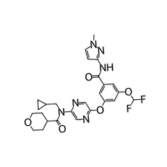 Cn1ccc(NC(=O)c2cc(Oc3cnc(N(CC4CC4)C(=O)C4CCOCC4)cn3)cc(OC(F)F)c2)n1